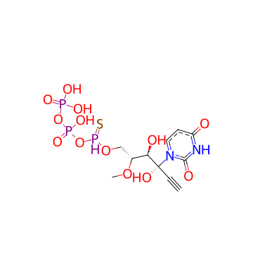 C#C[C@@](O)([C@H](O)[C@@H](CO[PH](=S)OP(=O)(O)OP(=O)(O)O)OC)n1ccc(=O)[nH]c1=O